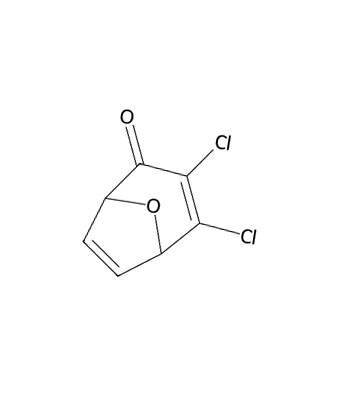 O=C1C(Cl)=C(Cl)C2C=CC1O2